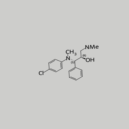 CNC[C@@H](O)[C@H](c1ccccc1)N(C)c1ccc(Cl)cc1